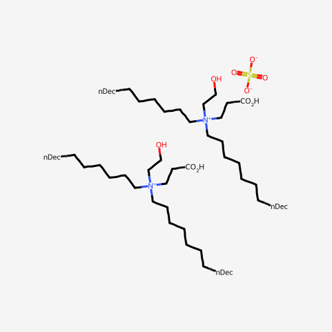 CCCCCCCCCCCCCCCCC[N+](CCO)(CCCCCCCCCCCCCCCC)CCC(=O)O.CCCCCCCCCCCCCCCCC[N+](CCO)(CCCCCCCCCCCCCCCC)CCC(=O)O.O=S(=O)([O-])[O-]